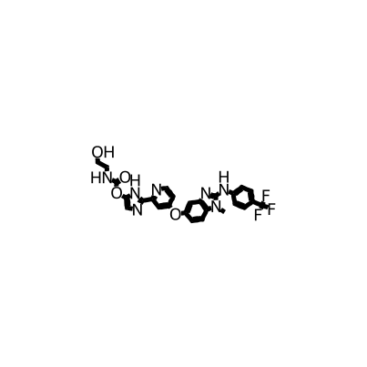 Cn1c(Nc2ccc(C(F)(F)F)cc2)nc2cc(Oc3ccnc(-c4ncc(OC(=O)NCCO)[nH]4)c3)ccc21